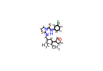 CCC(CN=C1SCCN1C(=S)Nc1cccc(F)c1)CC(CC)C1CCOC1